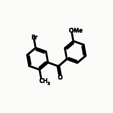 COc1cccc(C(=O)c2cc(Br)ccc2C)c1